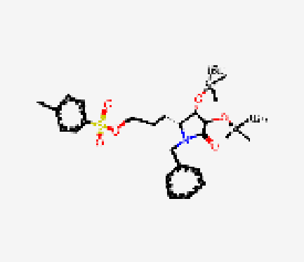 Cc1ccc(S(=O)(=O)OCCC[C@@H]2[C@H](O[Si](C)(C)C(C)(C)C)[C@@H](O[Si](C)(C)C(C)(C)C)C(=O)N2Cc2ccccc2)cc1